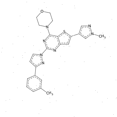 Cc1cccc(-c2ccn(-c3nc(N4CCOCC4)c4sc(-c5cnn(C)c5)cc4n3)n2)c1